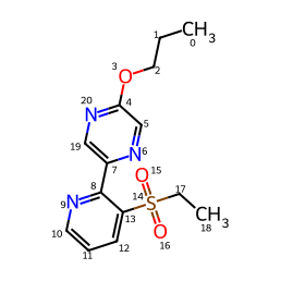 CCCOc1cnc(-c2ncccc2S(=O)(=O)CC)cn1